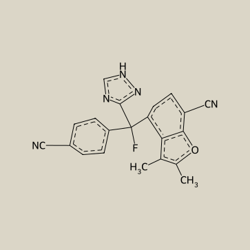 Cc1oc2c(C#N)ccc(C(F)(c3ccc(C#N)cc3)c3nc[nH]n3)c2c1C